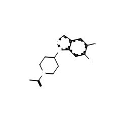 CC(=O)N1CCC(n2ncc3cc(F)c(Br)cc32)CC1